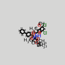 COc1c(Cl)cc(Cl)c2oc(C(=O)NN(C(C(=O)OC(C)(C)C)C(C)C)S(=O)(=O)c3ccc(-c4ccccc4)cc3)c(C)c12